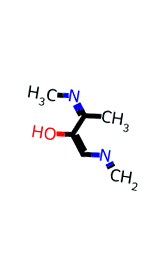 C=N/C=C(O)\C(C)=N/C